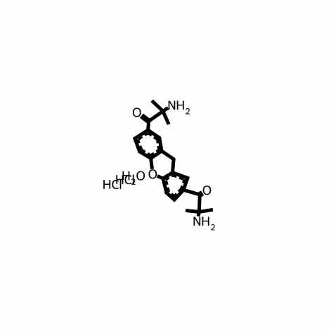 CC(C)(N)C(=O)c1ccc2c(c1)Cc1cc(C(=O)C(C)(C)N)ccc1O2.Cl.Cl.O